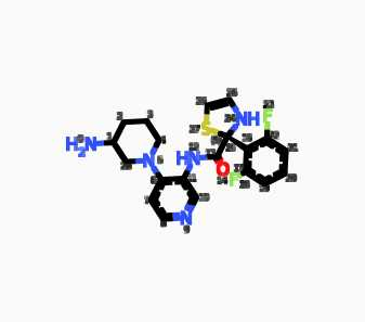 NC1CCCN(c2ccncc2NC(=O)[C@@]2(c3c(F)cccc3F)NC=CS2)C1